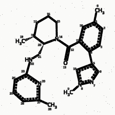 Cc1ccc(-c2cnn(C)c2)c(C(=O)N2CCC[C@@H](C)[C@H]2CNc2cccc(C)n2)c1